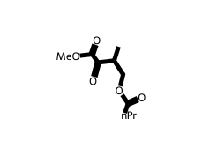 CCCC(=O)OCC(C)C(=O)C(=O)OC